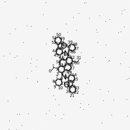 CCc1cc(N(c2ccccc2)c2cccc3c2oc2ccccc23)c2ccc3c(CC)cc(N(c4ccccc4)c4cccc5c4oc4ccccc45)c4ccc1c2c34